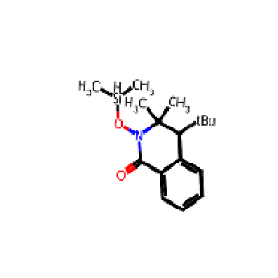 C[SiH](C)ON1C(=O)c2ccccc2C(C(C)(C)C)C1(C)C